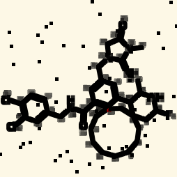 CC1NC(F)CC2(CCCCCCCCCC2)C1c1cc(CN2CC(=O)N(C)C2=N)cc(C(=O)NCc2ccc(Cl)c(Cl)c2)c1